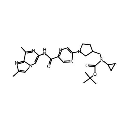 Cc1cn2cc(NC(=O)c3cnc(N4CCC(CN(C(=O)OC(C)(C)C)C5CC5)C4)cn3)nc(C)c2n1